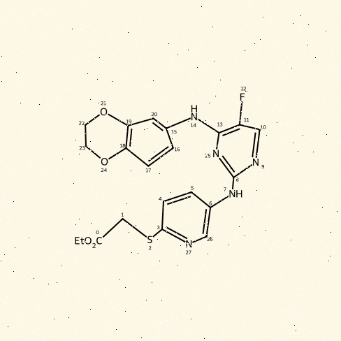 CCOC(=O)CSc1ccc(Nc2ncc(F)c(Nc3ccc4c(c3)OCCO4)n2)cn1